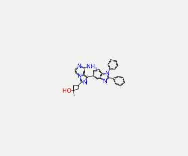 CC1(O)CC(c2nc(-c3ccc4c(c3)nc(-c3ccccc3)n4-c3ccccc3)c3c(N)nccn23)C1